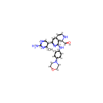 Cc1nc(N)ncc1-c1cc2c(c(Nc3ccc(N4CCOCC4)cc3)n1)C(C=O)NC=C2